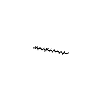 C=CC=CCCCC=CCCCCCCCCCCC